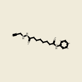 C#CCNNC(=O)CCCCCCC(=O)Nc1ccccc1